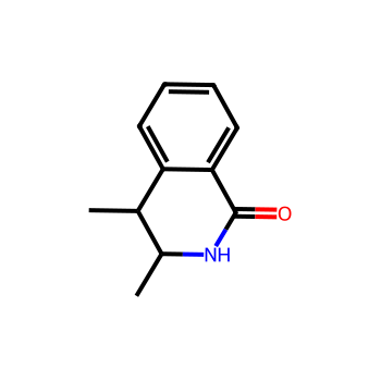 CC1NC(=O)c2ccccc2C1C